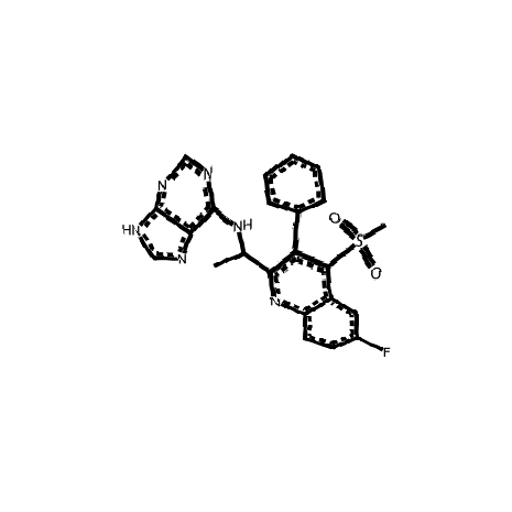 CC(Nc1ncnc2[nH]cnc12)c1nc2ccc(F)cc2c(S(C)(=O)=O)c1-c1ccccc1